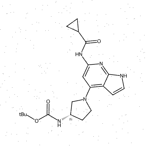 CC(C)(C)OC(=O)N[C@H]1CCN(c2cc(NC(=O)C3CC3)nc3[nH]ccc23)C1